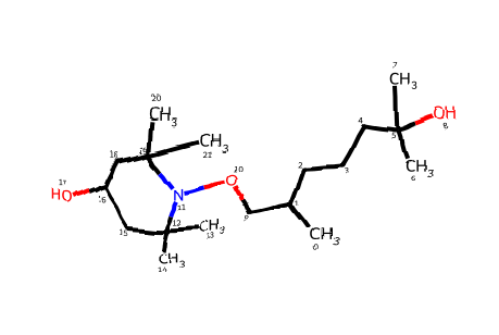 CC(CCCC(C)(C)O)CON1C(C)(C)CC(O)CC1(C)C